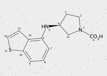 O=C(O)N1CC[C@H](Nc2cccc3sccc23)C1